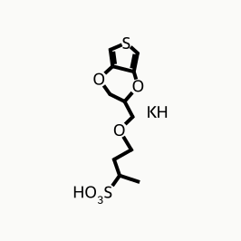 CC(CCOCC1COc2cscc2O1)S(=O)(=O)O.[KH]